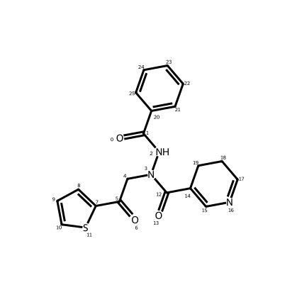 O=C(NN(CC(=O)c1cccs1)C(=O)C1=CN=CCC1)c1ccccc1